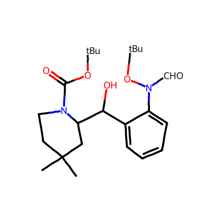 CC1(C)CCN(C(=O)OC(C)(C)C)C(C(O)c2ccccc2N(C=O)OC(C)(C)C)C1